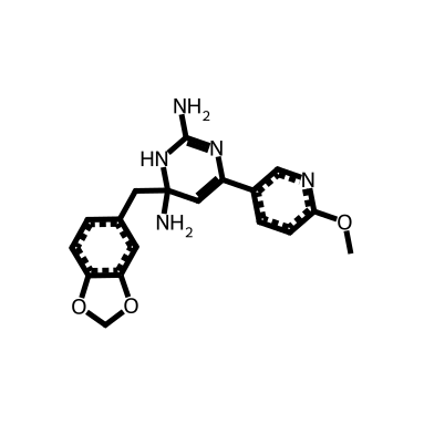 COc1ccc(C2=CC(N)(Cc3ccc4c(c3)OCO4)NC(N)=N2)cn1